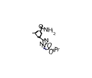 Cc1cc(C(N)=O)cc(-c2ncn(/C=C\C(=O)OC(C)C)n2)c1